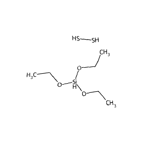 CCO[SiH](OCC)OCC.SS